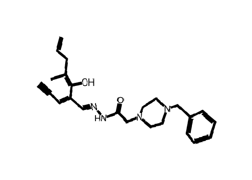 C#C/C=C(/C=N/NC(=O)CN1CCN(Cc2ccccc2)CC1)C(\O)=C(/C)CC=C